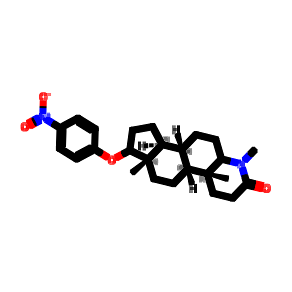 CN1C(=O)CC[C@@]2(C)C1CC[C@@H]1[C@H]2CC[C@]2(C)C(Oc3ccc([N+](=O)[O-])cc3)CC[C@@H]12